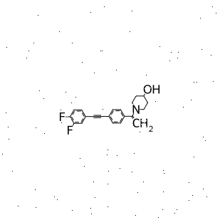 C=C(c1ccc(C#Cc2ccc(F)c(F)c2)cc1)N1CCC(O)CC1